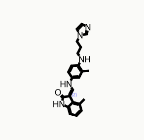 Cc1cc(N/C=C2\C(=O)Nc3cccc(C)c32)ccc1NCCCn1ccnc1